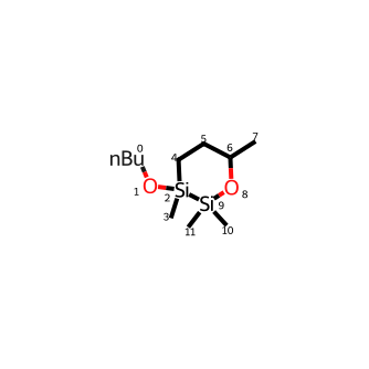 CCCCO[Si]1(C)CCC(C)O[Si]1(C)C